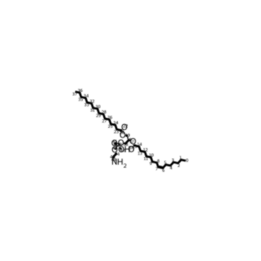 CCCCCC/C=C\CCCCCCCC(=O)O[C@H](COC(=O)CCCCCCCCCCCCCCC)COP(=O)(O)OCCN